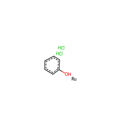 Cl.Cl.Oc1ccccc1.[Ru]